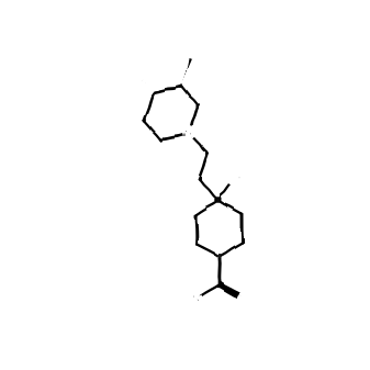 C[C@H]1CN(CCC2(O)CCC(C(N)=O)CC2)CC[C@@H]1O